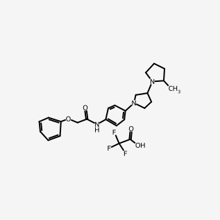 CC1CCCN1C1CCN(c2ccc(NC(=O)COc3ccccc3)cc2)C1.O=C(O)C(F)(F)F